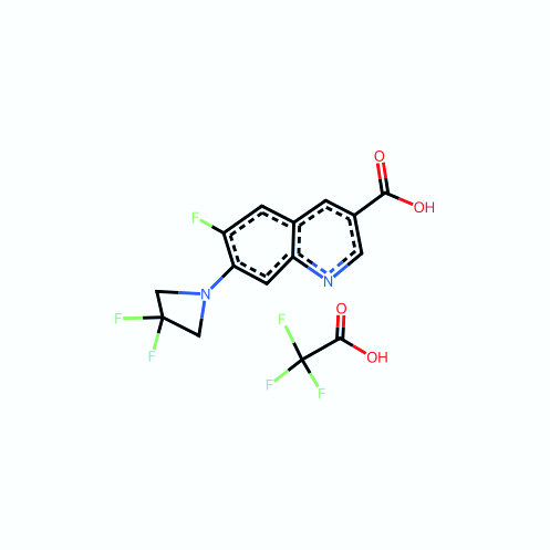 O=C(O)C(F)(F)F.O=C(O)c1cnc2cc(N3CC(F)(F)C3)c(F)cc2c1